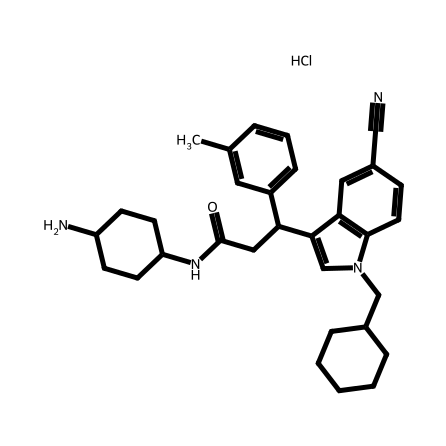 Cc1cccc(C(CC(=O)NC2CCC(N)CC2)c2cn(CC3CCCCC3)c3ccc(C#N)cc23)c1.Cl